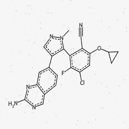 Cn1ncc(-c2ccc3cnc(N)nc3c2)c1-c1c(F)c(Cl)cc(OC2CC2)c1C#N